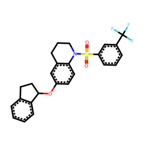 O=S(=O)(c1cccc(C(F)(F)F)c1)N1CCCc2cc(OC3CCc4ccccc43)ccc21